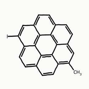 Cc1cc2ccc3ccc4cc(I)c5ccc6ccc1c1c2c3c4c5c61